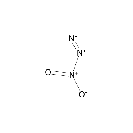 [N-]=[N+][N+](=O)[O-]